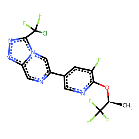 C[C@H](Oc1ncc(-c2cn3c(C(F)(F)Cl)nnc3cn2)cc1F)C(F)(F)F